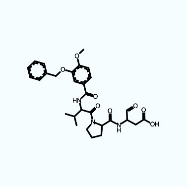 COc1ccc(C(=O)NC(C(=O)N2CCCC2C(=O)NC(C=O)CC(=O)O)C(C)C)cc1OCc1ccccc1